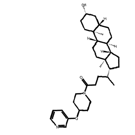 CC(CCC(=O)N1CCC(Oc2cccnc2)CC1)[C@H]1CC[C@H]2[C@@H]3CC[C@H]4C[C@@H](O)CC[C@]4(C)[C@H]3CC[C@]12C